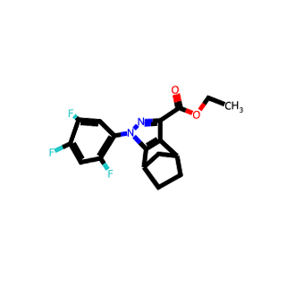 CCOC(=O)c1nn(-c2cc(F)c(F)cc2F)c2c1C1CCC2C1